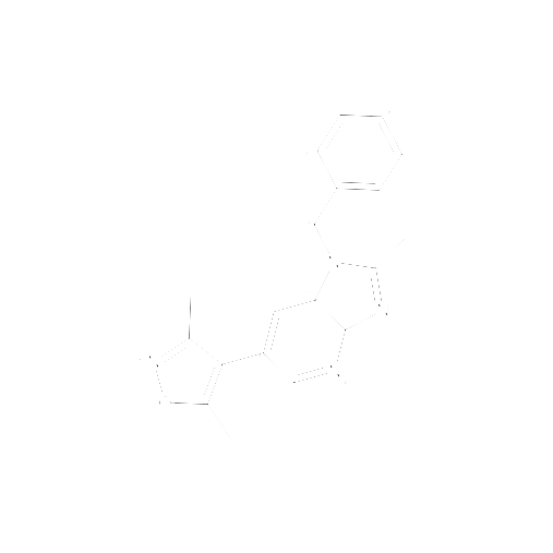 Cc1noc(C)c1-c1cnc2nc(C)n(Cc3ccccc3)c2c1